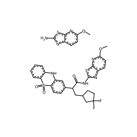 COc1ccc2nc(N)sc2n1.COc1ccc2nc(NC(=O)C(CC3CCC(F)(F)C3)c3ccc4c(c3)Nc3ccccc3S4(=O)=O)sc2n1